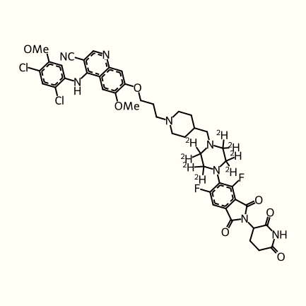 [2H]C1([2H])N(CC2CCN(CCCOc3cc4ncc(C#N)c(Nc5cc(OC)c(Cl)cc5Cl)c4cc3OC)CC2)C([2H])([2H])C([2H])([2H])N(c2c(F)cc3c(c2F)C(=O)N(C2CCC(=O)NC2=O)C3=O)C1([2H])[2H]